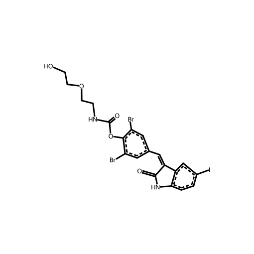 O=C(NCCOCCO)Oc1c(Br)cc(C=C2C(=O)Nc3ccc(I)cc32)cc1Br